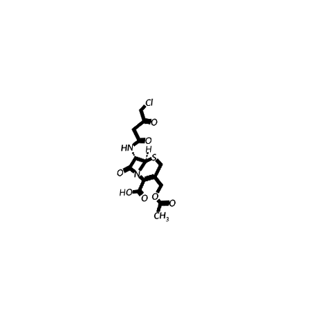 CC(=O)OCC1=C(C(=O)O)N2C(=O)[C@H](NC(=O)CC(=O)CCl)[C@H]2SC1